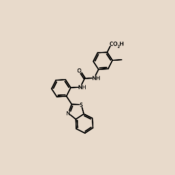 Cc1cc(NC(=O)Nc2ccccc2-c2nc3ccccc3s2)ccc1C(=O)O